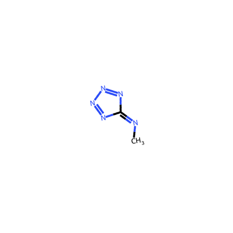 CN=C1N=NN=N1